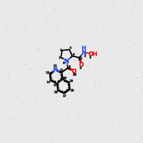 O=C(NO)C1CCCN1C(=O)c1nccc2ccccc12